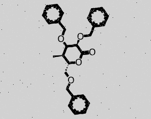 C[C@H]1C(OCc2ccccc2)[C@@H](OCc2ccccc2)C(=O)O[C@@H]1COCc1ccccc1